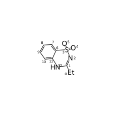 CCC1=NS(=O)(=O)c2ccccc2N1